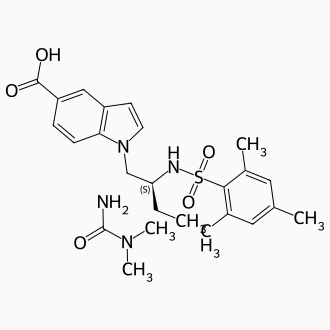 CC[C@@H](Cn1ccc2cc(C(=O)O)ccc21)NS(=O)(=O)c1c(C)cc(C)cc1C.CN(C)C(N)=O